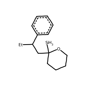 CCC(CC1([SiH3])CCCCO1)c1ccccc1